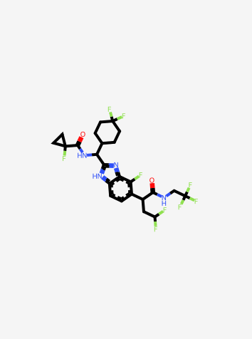 O=C(NCC(F)(F)F)C(CC(F)F)c1ccc2[nH]c(C(NC(=O)C3(F)CC3)C3CCC(F)(F)CC3)nc2c1F